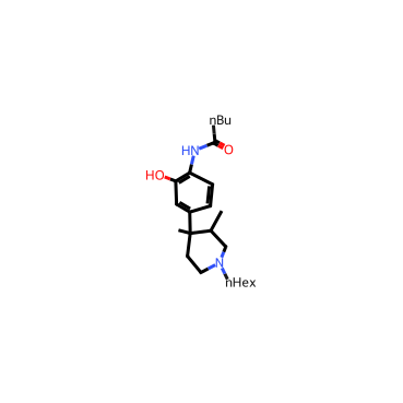 CCCCCCN1CCC(C)(c2ccc(NC(=O)CCCC)c(O)c2)C(C)C1